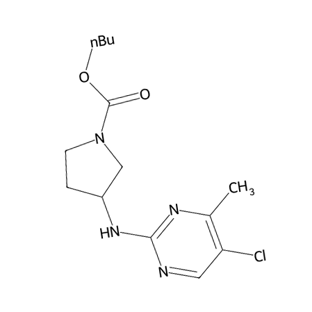 CCCCOC(=O)N1CCC(Nc2ncc(Cl)c(C)n2)C1